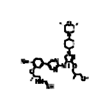 COCC(C)COc1nn(C2CCC(N3C[C@@H](C)O[C@@H](C)C3)CC2)cc1Nc1ncc(-c2ccc(C#N)c(O[C@@H](C)CNC=N)c2)cn1